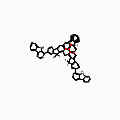 FC1(F)c2cc(-c3nccc4c3[nH]c3ccccc34)ccc2-c2ccc(-c3nccc4c3[nH]c3ccccc34)c(Cc3c(-c4nccc5c4[nH]c4ccccc45)ccc4c3C(F)(F)c3cc(-c5nccc6c5[nH]c5ccccc56)ccc3-4)c21